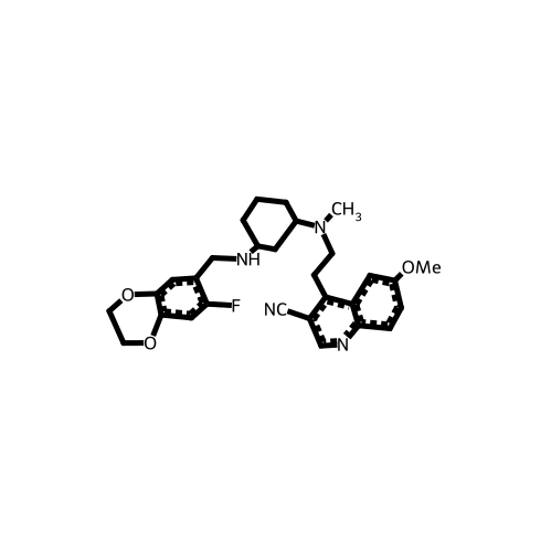 COc1ccc2ncc(C#N)c(CCN(C)C3CCCC(NCc4cc5c(cc4F)OCCO5)C3)c2c1